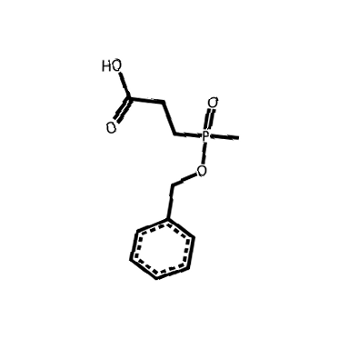 CP(=O)(CCC(=O)O)OCc1ccccc1